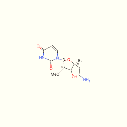 CC[C@@]1(CCN)O[C@@H](n2ccc(=O)[nH]c2=O)[C@@H](OC)C1O